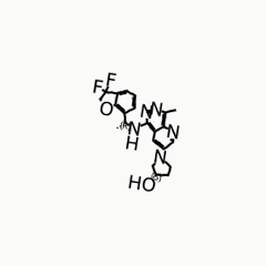 Cc1nnc(N[C@H](C)c2cccc3c2OCC3(F)F)c2cc(N3CC[C@H](O)C3)cnc12